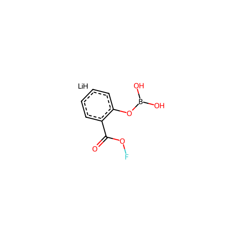 O=C(OF)c1ccccc1OB(O)O.[LiH]